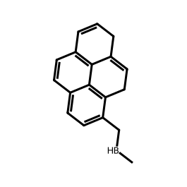 CBCc1ccc2ccc3c4c2c1CC=C4CC=C3